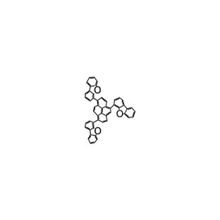 c1ccc2c(c1)oc1c(-c3ccc4cc(-c5cccc6c5oc5ccccc56)c5ccc(-c6cccc7c6oc6ccccc67)c6ccc3c4c65)cccc12